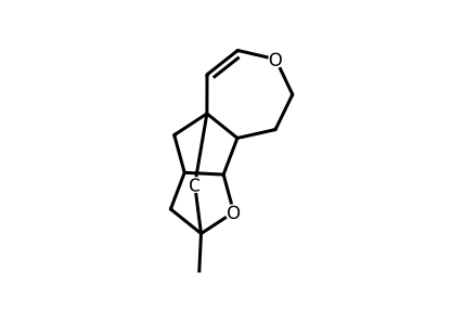 CC12CC3CC4(C=COCCC4C3O1)C2